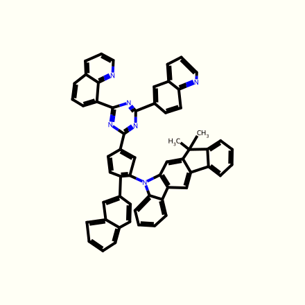 CC1(C)c2ccccc2-c2cc3c4ccccc4n(-c4cc(-c5nc(-c6ccc7ncccc7c6)nc(-c6cccc7cccnc67)n5)ccc4-c4ccc5ccccc5c4)c3cc21